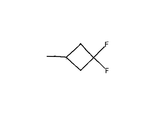 C[C]1CC(F)(F)C1